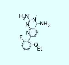 CCOc1cccc(F)c1-c1ccc2c(n1)N=C(N)N(C)C2N